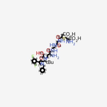 CC(C)(C)C(c1cc(-c2cc(F)ccc2F)cn1Cc1ccccc1)N(CCC(N)C(=O)NCCNC(=O)CNC(=O)C(CC(=O)O)SCC(N)C(=O)O)C(=O)CO